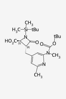 Cc1cc(C[C@H]2C(=O)N([Si](C)(C)C(C)(C)C)[C@@H]2C(=O)O)cc(N(C)C(=O)OC(C)(C)C)n1